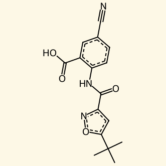 CC(C)(C)c1cc(C(=O)Nc2ccc(C#N)cc2C(=O)O)no1